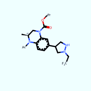 CC(=O)N1c2ccc(C3CNN(CC(F)(F)F)C3)cc2N(C(=O)OC(C)C)C[C@@H]1C